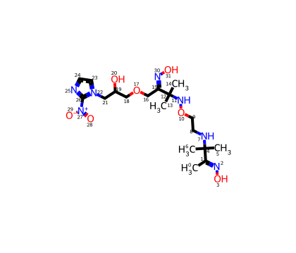 CC(=NO)C(C)(C)NCCONC(C)(C)C(COCC(O)Cn1ccnc1[N+](=O)[O-])=NO